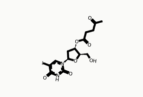 CC(=O)CCC(=O)O[C@H]1C[C@H](n2cc(I)c(=O)[nH]c2=O)O[C@@H]1CO